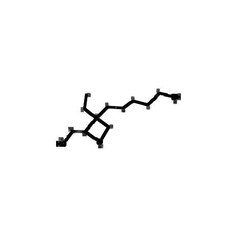 CCC1(CCCCCO)COC1CO